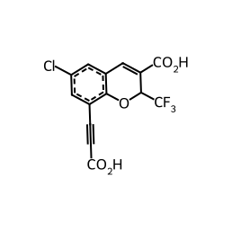 O=C(O)C#Cc1cc(Cl)cc2c1OC(C(F)(F)F)C(C(=O)O)=C2